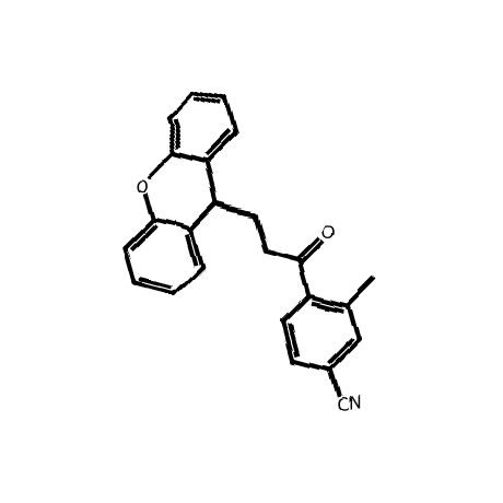 Cc1cc(C#N)ccc1C(=O)CCC1c2ccccc2Oc2ccccc21